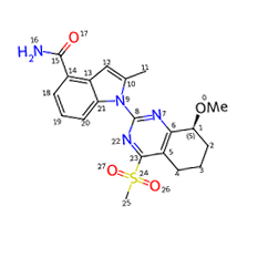 CO[C@H]1CCCc2c1nc(-n1c(C)cc3c(C(N)=O)cccc31)nc2S(C)(=O)=O